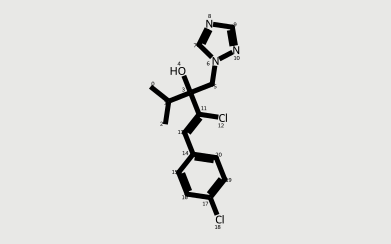 CC(C)C(O)(Cn1cncn1)C(Cl)=Cc1ccc(Cl)cc1